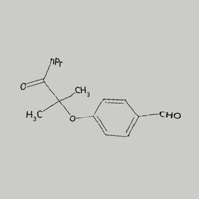 CCCC(=O)C(C)(C)Oc1ccc(C=O)cc1